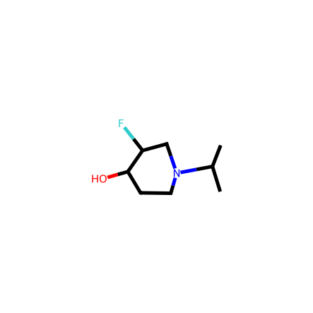 CC(C)N1CCC(O)C(F)C1